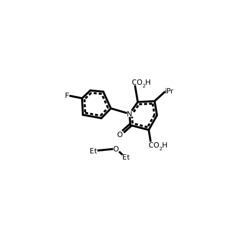 CC(C)c1cc(C(=O)O)c(=O)n(-c2ccc(F)cc2)c1C(=O)O.CCOCC